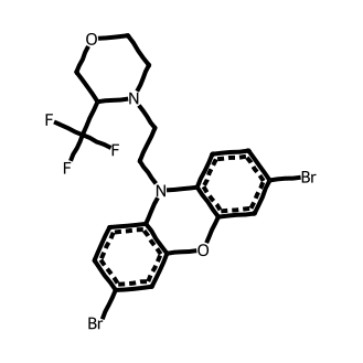 FC(F)(F)C1COCCN1CCN1c2ccc(Br)cc2Oc2cc(Br)ccc21